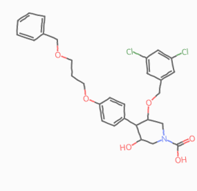 O=C(O)N1CC(O)C(c2ccc(OCCCOCc3ccccc3)cc2)C(OCc2cc(Cl)cc(Cl)c2)C1